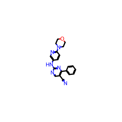 N#Cc1cnc(Nc2ccc(N3CCOCC3)nc2)nc1-c1ccccc1